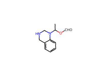 CC(OC=O)N1CNCc2ccccc21